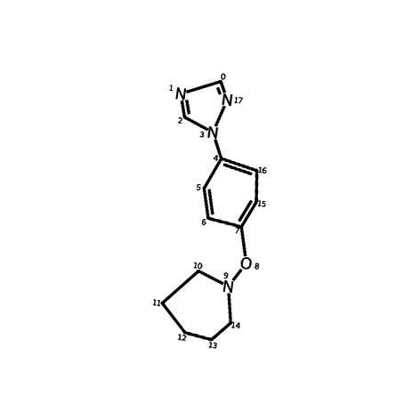 c1ncn(-c2ccc(ON3CCCCC3)cc2)n1